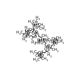 CC(C)OP(=O)(OC(C)C)SCC(C)OP(=O)(OC(C)CSP(=O)(OC(C)C)OC(C)C)SCC(C)OP(=O)(S)OC(C)CSP(=O)(OC(C)CSP(=O)(OC(C)C)OC(C)C)OC(C)CSP(=O)(OC(C)C)OC(C)C